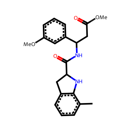 COC(=O)CC(NC(=O)C1Cc2cccc(C)c2N1)c1cccc(OC)c1